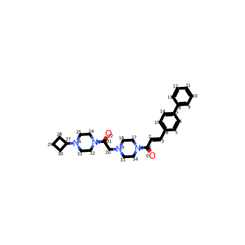 O=C(/C=C/c1ccc(-c2ccccc2)cc1)N1CCN(CC(=O)N2CCN(C3CCC3)CC2)CC1